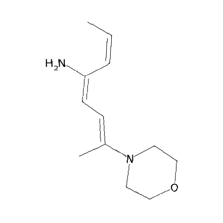 C\C=C/C(N)=C\C=C(/C)N1CCOCC1